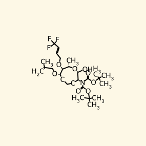 C=C(C)CO[C@H]1CCC[C@H](N(C(=O)OC(C)(C)C)C(=O)OC(C)(C)C)C(O)O[C@@H](C)[C@@H]1OC/C=C/C(F)(F)F